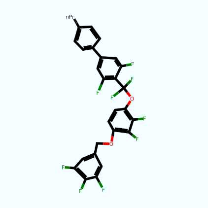 CCCc1ccc(-c2cc(F)c(C(F)(F)Oc3ccc(OCc4cc(F)c(F)c(F)c4)c(F)c3F)c(F)c2)cc1